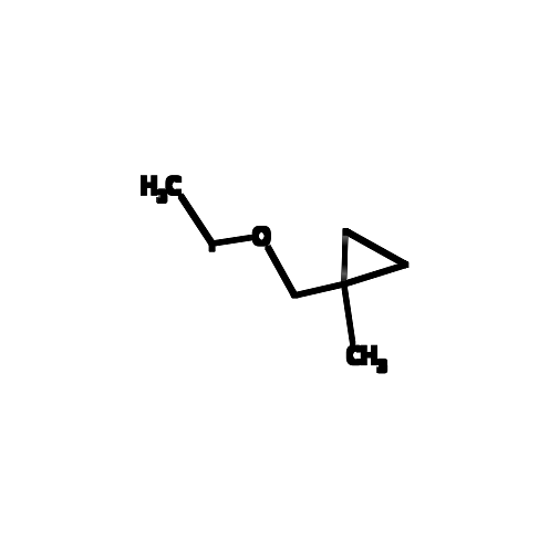 C[CH]OCC1(C)CC1